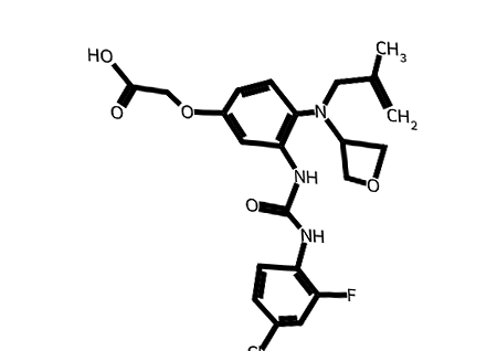 C=C(C)CN(c1ccc(OCC(=O)O)cc1NC(=O)Nc1ccc(Cl)cc1F)C1COC1